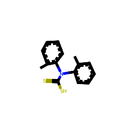 Cc1ccccc1N(C(=S)S)c1ccccc1C